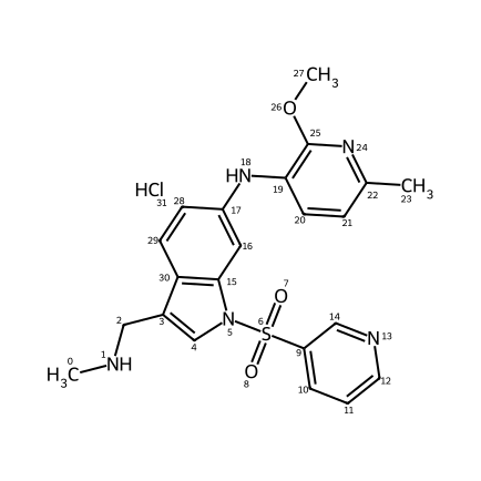 CNCc1cn(S(=O)(=O)c2cccnc2)c2cc(Nc3ccc(C)nc3OC)ccc12.Cl